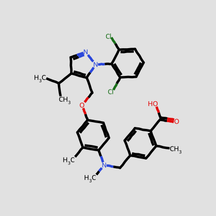 Cc1cc(CN(C)c2ccc(OCc3c(C(C)C)cnn3-c3c(Cl)cccc3Cl)cc2C)ccc1C(=O)O